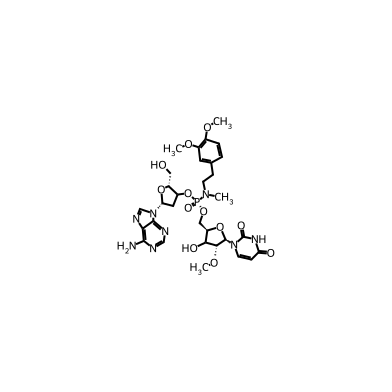 COc1ccc(CCN(C)P(=O)(OC[C@H]2O[C@@H](n3ccc(=O)[nH]c3=O)[C@H](OC)C2O)OC2C[C@H](n3cnc4c(N)ncnc43)O[C@@H]2CO)cc1OC